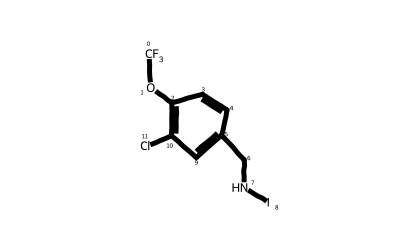 FC(F)(F)Oc1ccc(CNI)cc1Cl